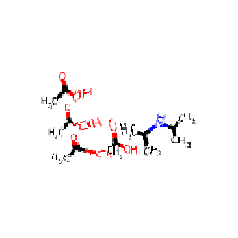 CC(=O)O.CC(=O)O.CC(=O)O.CC(=O)O.CC(C)NC(C)C